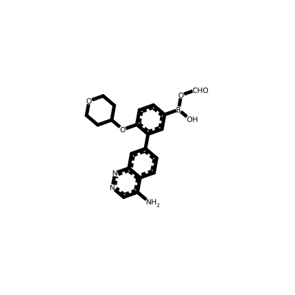 Nc1cnnc2cc(-c3cc(B(O)OC=O)ccc3OC3CCOCC3)ccc12